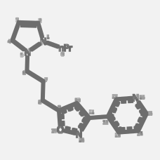 CCCN1C=CCN1CCCc1cc(-c2cccnc2)no1